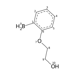 Bc1ccccc1OCCO